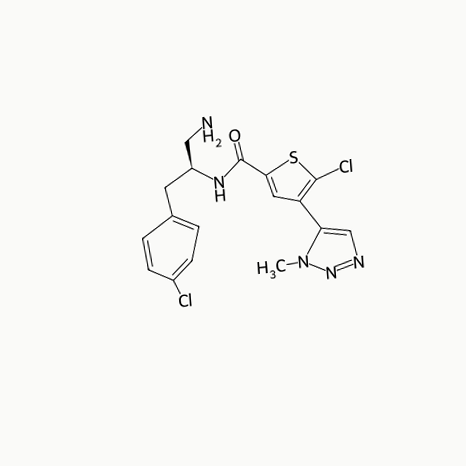 Cn1nncc1-c1cc(C(=O)N[C@H](CN)Cc2ccc(Cl)cc2)sc1Cl